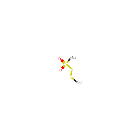 CC(C)(C)SSS(=O)(=O)C(C)(C)C